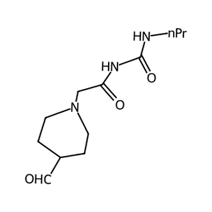 CCCNC(=O)NC(=O)CN1CCC(C=O)CC1